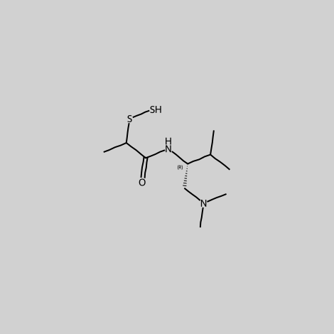 CC(SS)C(=O)N[C@@H](CN(C)C)C(C)C